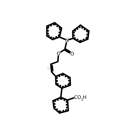 O=C(O)c1ccccc1-c1cccc(/C=C\COC(=O)N(c2ccccc2)c2ccccc2)c1